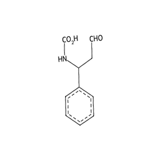 O=CCC(NC(=O)O)c1ccccc1